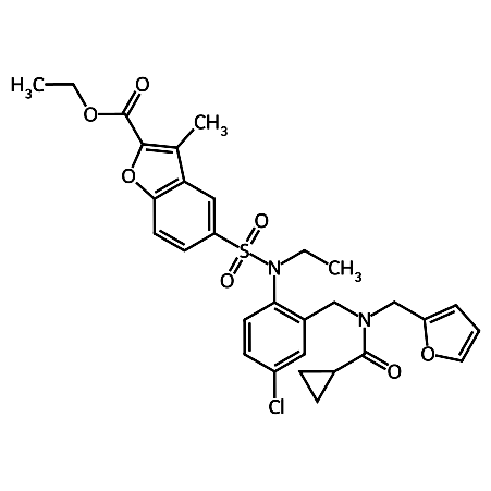 CCOC(=O)c1oc2ccc(S(=O)(=O)N(CC)c3ccc(Cl)cc3CN(Cc3ccco3)C(=O)C3CC3)cc2c1C